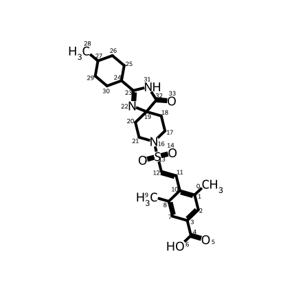 Cc1cc(C(=O)O)cc(C)c1/C=C/S(=O)(=O)N1CCC2(CC1)N=C(C1CCC(C)CC1)NC2=O